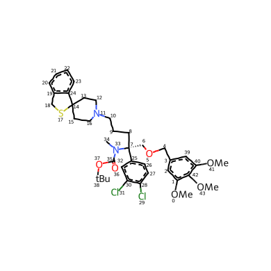 COc1cc(COC[C@](CCCN2CCC3(CC2)SCc2ccccc23)(c2ccc(Cl)c(Cl)c2)N(C)C(=O)OC(C)(C)C)cc(OC)c1OC